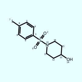 O=S(=O)(c1ccc(I)cc1)N1CCC(O)CC1